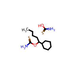 CCCCC(OC(N)=S)C1CCCCC1.NC(O)=S